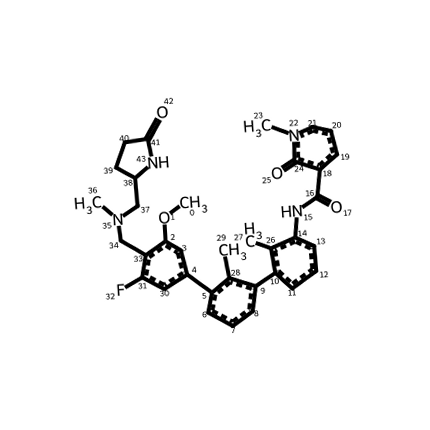 COc1cc(-c2cccc(-c3cccc(NC(=O)c4cccn(C)c4=O)c3C)c2C)cc(F)c1CN(C)CC1CCC(=O)N1